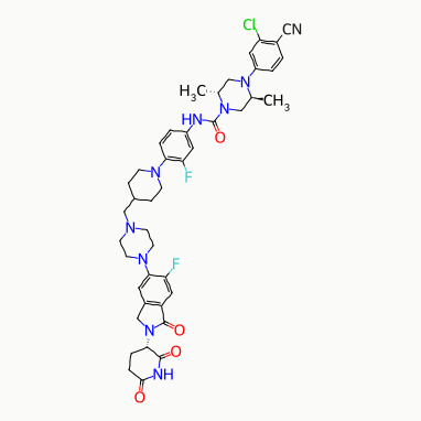 C[C@@H]1CN(c2ccc(C#N)c(Cl)c2)[C@@H](C)CN1C(=O)Nc1ccc(N2CCC(CN3CCN(c4cc5c(cc4F)C(=O)N([C@H]4CCC(=O)NC4=O)C5)CC3)CC2)c(F)c1